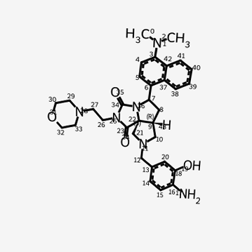 CN(C)c1ccc(C2C[C@@H]3CN(Cc4ccc(N)c(O)c4)C[C@]34C(=O)N(CCN3CCOCC3)C(=O)N24)c2ccccc12